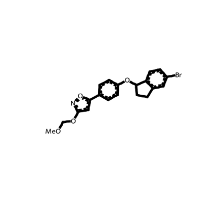 COCOc1cc(-c2ccc(OC3CCc4cc(Br)ccc43)cc2)on1